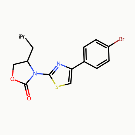 CC(C)CC1COC(=O)N1c1nc(-c2ccc(Br)cc2)cs1